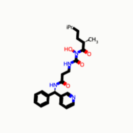 CC(C)CC[C@H](C)C(=O)N(O)C(=O)NCCC(=O)N[C@@H](c1ccccc1)c1cccnc1